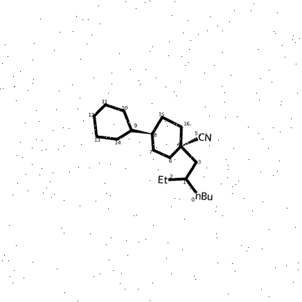 CCCCC(CC)C[C@]1(C#N)CC[C@@H](C2CCCCC2)CC1